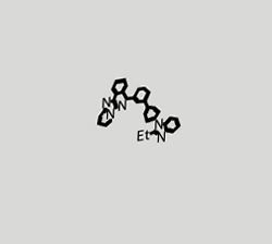 CCc1nc2ccccc2n1-c1ccc(C2=CCCC(c3nc4c(nc5ccccn54)c4ccccc34)=C2)cc1